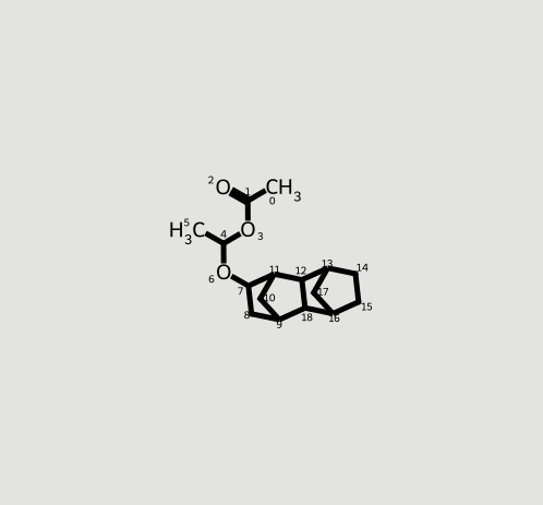 CC(=O)OC(C)OC1CC2CC1C1C3CCC(C3)C21